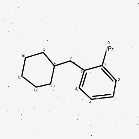 CC(C)c1ccccc1CC1CCCCC1